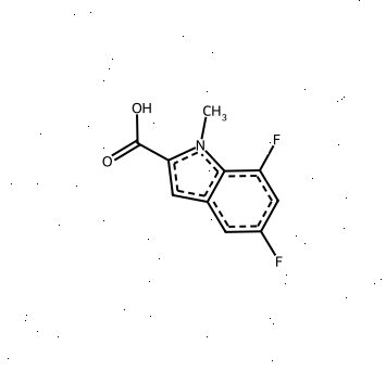 Cn1c(C(=O)O)cc2cc(F)cc(F)c21